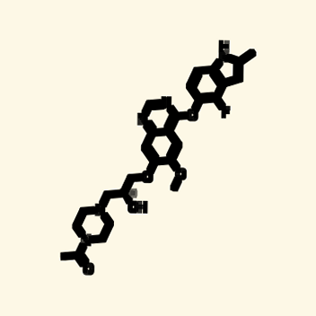 COc1cc2c(Oc3ccc4[nH]c(C)cc4c3F)ncnc2cc1OC[C@@H](O)CN1CCN(C(C)=O)CC1